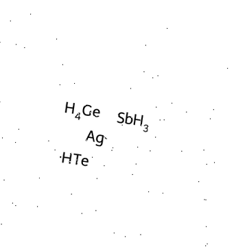 [Ag].[GeH4].[SbH3].[TeH]